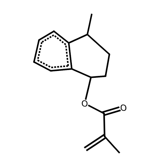 C=C(C)C(=O)OC1CCC(C)c2ccccc21